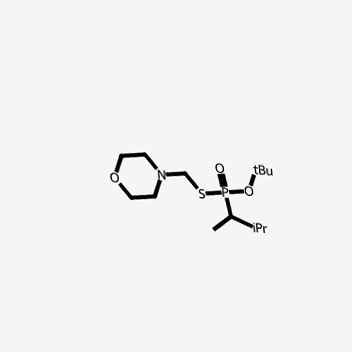 CC(C)C(C)P(=O)(OC(C)(C)C)SCN1CCOCC1